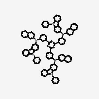 c1ccc(-n2c3ccccc3c3cc(N(c4cccc(-c5nc(-c6cccc(N(c7ccc8ccccc8c7)c7ccc8c(c7)c7ccccc7n8-c7ccccc7)c6)nc(-c6cccc(N(c7ccc8ccccc8c7)c7ccc8c(c7)c7ccccc7n8-c7ccccc7)c6)n5)c4)c4ccc5ccccc5c4)ccc32)cc1